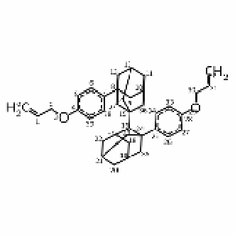 C=CCOc1ccc(C23CC4CC(C2)CC(C2C5CC6CC(C5)CC2(c2ccc(OCC=C)cc2)C6)(C4)C3)cc1